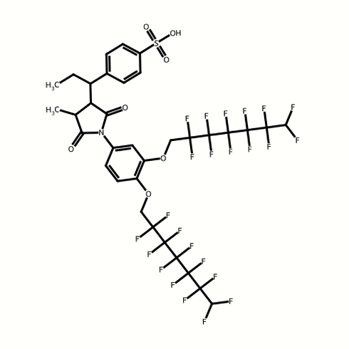 CCC(c1ccc(S(=O)(=O)O)cc1)C1C(=O)N(c2ccc(OCC(F)(F)C(F)(F)C(F)(F)C(F)(F)C(F)(F)C(F)F)c(OCC(F)(F)C(F)(F)C(F)(F)C(F)(F)C(F)(F)C(F)F)c2)C(=O)C1C